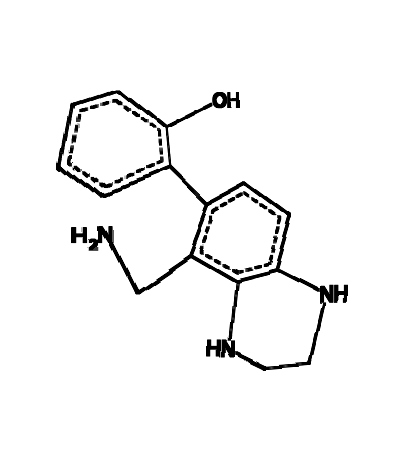 NCc1c(-c2ccccc2O)ccc2c1NCCN2